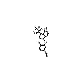 N#Cc1ccc(Cl)c(Oc2ccc(S(=O)(=O)C(F)(F)F)c3[nH]ncc23)c1